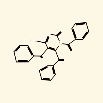 Nc1nc(=O)n(C(=O)c2ccccc2)c(C(=O)c2ccccc2)c1C(=O)c1ccccc1